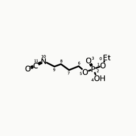 CCOP(=O)(O)OCCCCN=C=O